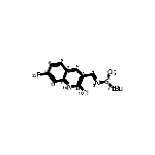 CC(C)(C)[S+]([O-])N=Cc1cc2ccc(F)cc2nc1Cl